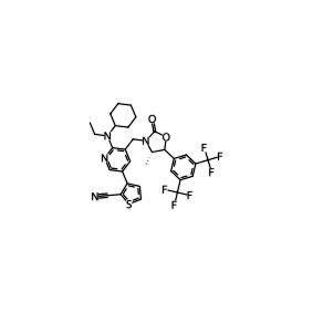 CCN(c1ncc(-c2ccsc2C#N)cc1CN1C(=O)OC(c2cc(C(F)(F)F)cc(C(F)(F)F)c2)[C@@H]1C)C1CCCCC1